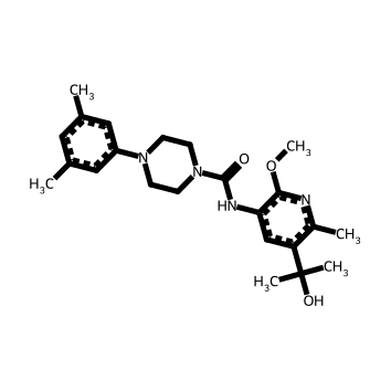 COc1nc(C)c(C(C)(C)O)cc1NC(=O)N1CCN(c2cc(C)cc(C)c2)CC1